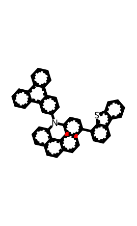 c1ccc2c(c1)ccc1cccc(N(c3ccc(-c4cccc5c4sc4ccccc45)cc3)c3ccc4c5ccccc5c5ccccc5c4c3)c12